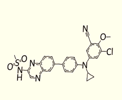 COc1c(Cl)cc(N(c2ccc(-c3ccc4nc(NS(C)(=O)=O)cnc4c3)cc2)C2CC2)cc1C#N